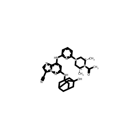 CC(=O)N1[C@H](C)CN(c2cccc(Nc3cc(NC45CC6CC(CC(O)(C6)C4)C5)nn4c(C#N)cnc34)n2)C[C@@H]1C